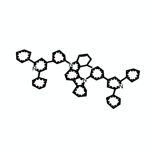 CC1CC=Cc2c1c1c(ccc3c4ccccc4n(-c4cccc(-c5cc(-c6ccccc6)nc(-c6ccccc6)c5)c4)c31)n2-c1cccc(-c2cc(-c3ccccc3)nc(-c3ccccc3)c2)c1